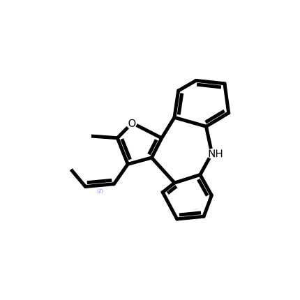 C/C=C\c1c(C)oc2c1-c1ccccc1Nc1ccccc1-2